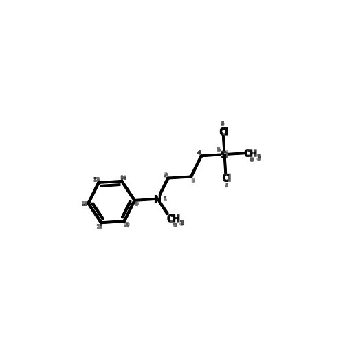 CN(CCC[Si](C)(Cl)Cl)c1ccccc1